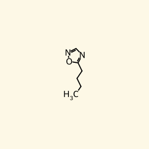 CCCCc1ncno1